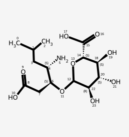 CC(C)C[C@H](N)[C@H](CC(=O)O)OC1O[C@H](C(=O)O)[C@@H](O)[C@H](O)[C@H]1O